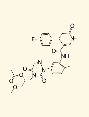 COCC(Cn1c(=O)cnn(-c2ccc(C)c(NC(=O)C3=CN(C)C(=O)C[C@H]3c3ccc(F)cc3)c2)c1=O)OC(C)=O